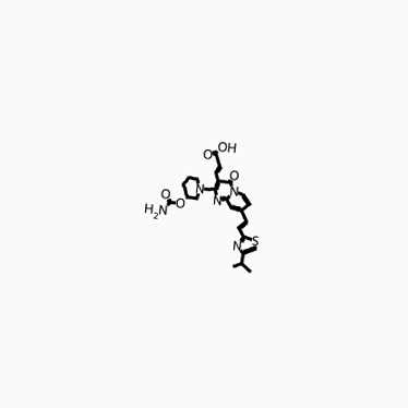 CC(C)c1csc(C=Cc2ccn3c(=O)c(C=CC(=O)O)c(N4CCC[C@@H](OC(N)=O)C4)nc3c2)n1